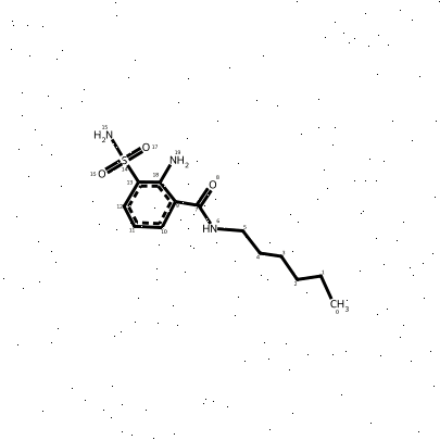 CCCCCCNC(=O)c1cccc(S(N)(=O)=O)c1N